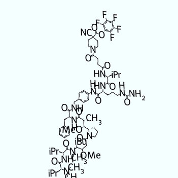 CC[C@H](C)[C@@H]([C@@H](CC(=O)N1CCC[C@H]1[C@H](OC)[C@@H](C)C(=O)N[C@@H](Cc1ccccc1)C(=O)NCc1ccc(NC(=O)[C@H](CCCNC(N)=O)NC(=O)[C@@H](NC(=O)CCC(=O)N2CCC(C#N)(C(=O)Oc3c(F)c(F)c(F)c(F)c3F)CC2)C(C)C)cc1)OC)N(C)C(=O)[C@@H](NC(=O)[C@H](C(C)C)N(C)C)C(C)C